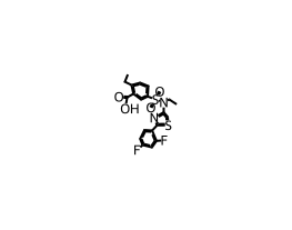 CCc1ccc(S(=O)(=O)N(CC)c2csc(-c3ccc(F)cc3F)n2)cc1C(=O)O